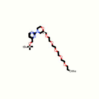 COCCOCCOCCOCCOCCOC[C@H]1CN(c2nccc(CO[Si](C)(C)C(C)(C)C)n2)CCO1